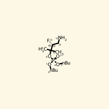 CCCCOP(=O)(OCCCC)OC(C)(C)[C@H](F)CN